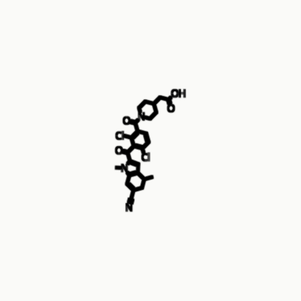 CC1CC(C#N)=Cc2c1cc(C(=O)c1c(Cl)ccc(C(=O)N3CCC(CC(=O)O)CC3)c1Cl)n2C